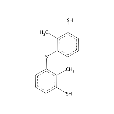 Cc1c(S)cccc1Sc1cccc(S)c1C